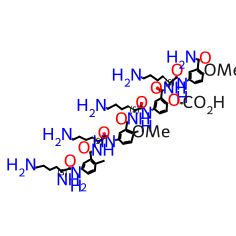 COc1ccc(NC(=O)[C@H](CCCCN)NC(=O)c2cc(NC(=O)[C@H](CCCCN)NC(=O)c3cc(NC(=O)[C@H](CCCCN)NC(=O)c4cc(NC(=O)[C@@H](N)CCCCN)ccc4C)ccc3OC)ccc2OCC(=O)O)cc1C(N)=O